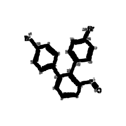 O=Pc1cccc(-c2ccc(Br)cc2)c1-c1ccc(Br)cc1